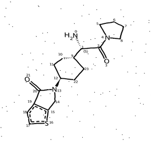 N[C@H](C(=O)N1CCCC1)[C@H]1CC[C@H](N2Cc3sccc3C2=O)CC1